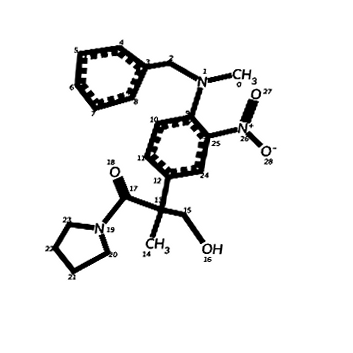 CN(Cc1ccccc1)c1ccc(C(C)(CO)C(=O)N2CCCC2)cc1[N+](=O)[O-]